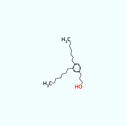 CCCCCCCc1ccc(CCCO)cc1CCCCCCC